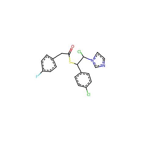 O=C(Cc1ccc(F)cc1)SC(c1ccc(Cl)cc1)C(Cl)n1ccnc1